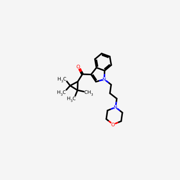 CC1(C)C(C(=O)c2cn(CCCN3CCOCC3)c3ccccc23)C1(C)C